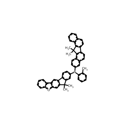 Cc1ccccc1N(c1ccc2c(c1)C(C)(C)c1cc3oc4ccccc4c3cc1-2)c1ccc2c3c(ccc2c1)-c1ccc2ccccc2c1C3(C)C